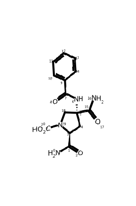 NC(=O)[C@@H]1C[C@](NC(=O)c2ccccc2)(C(N)=O)CN1C(=O)O